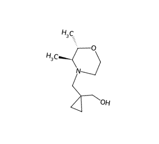 C[C@@H]1OCCN(CC2(CO)CC2)[C@H]1C